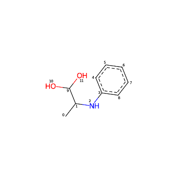 CC(Nc1ccccc1)C(O)O